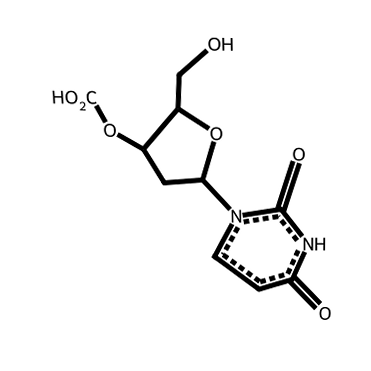 O=C(O)OC1CC(n2ccc(=O)[nH]c2=O)OC1CO